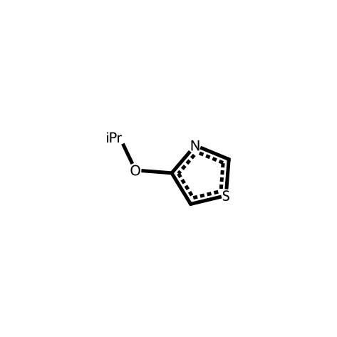 CC(C)Oc1cscn1